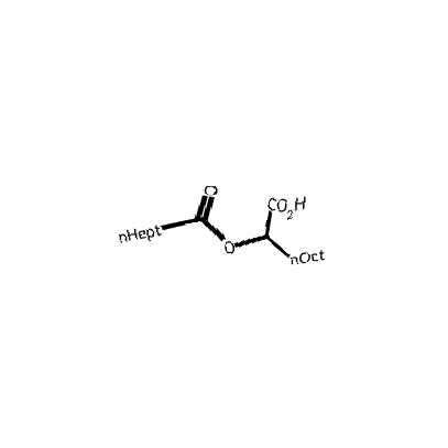 CCCCCCCCC(OC(=O)CCCCCCC)C(=O)O